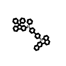 c1ccc(N(c2ccc(-c3ccc(N4c5cc6ccccc6cc5-c5cccc6cccc4c56)cc3)cc2)c2ccc3c(c2)C(c2ccccc2)(c2ccccc2)c2ccccc2-3)cc1